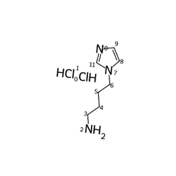 Cl.Cl.NCCCCn1ccnc1